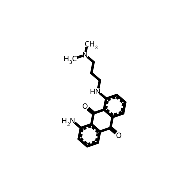 CN(C)CCCNc1cccc2c1C(=O)c1c(N)cccc1C2=O